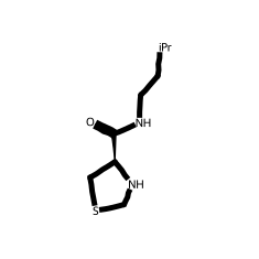 CC(C)CCNC(=O)[C@@H]1CSCN1